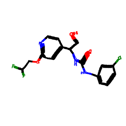 O=C(Nc1cccc(Cl)c1)NC(CO)c1ccnc(OCC(F)F)c1